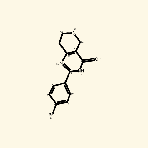 O=c1[nH]c(-c2ccc(Br)cc2)nc2c1CSCC2